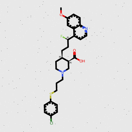 COc1ccc2nccc([C@H](F)CC[C@@H]3CCN(CCCSc4ccc(Cl)cc4)C[C@@H]3C(=O)O)c2c1